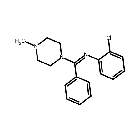 CN1CCN(C(=Nc2ccccc2Cl)c2ccccc2)CC1